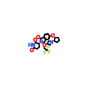 O=C1CCC(N2Cc3cc(O[C@@H]4CCC[C@@H]4N4CC(OCC(F)(F)F)C4)ccc3C2=O)C(=O)N1